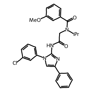 COc1cccc(C(=O)N(CC(=O)Nc2nc(-c3ccccc3)cn2-c2cccc(Cl)c2)C(C)C)c1